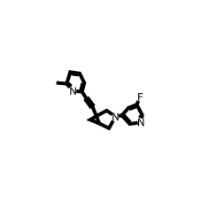 Cc1cccc(C#CC23CC2CN(c2cncc(F)c2)C3)n1